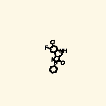 O=c1c2c[nH]c3cc(Cl)c(F)cc3c-2nn1-c1ccccc1